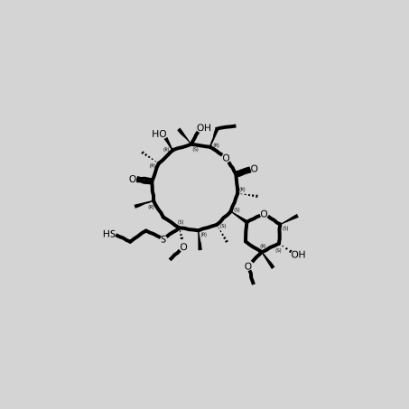 CC[C@H]1OC(=O)[C@H](C)[C@@H](C2C[C@@](C)(OC)[C@@H](O)[C@H](C)O2)[C@H](C)[C@@H](C)[C@@](OC)(SCCS)C[C@@H](C)C(=O)[C@H](C)[C@@H](O)[C@]1(C)O